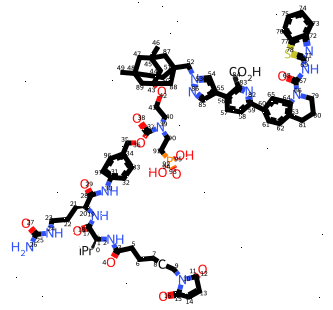 CC(C)[C@H](NC(=O)CCCCCN1C(=O)C=CC1=O)C(=O)N[C@@H](CCCNC(N)=O)C(=O)Nc1ccc(COC(=O)N(CCOC23CC4(C)CC(C)(CC(Cn5cc(-c6ccc(-c7ccc8c(c7)N(C(=O)Nc7nc9ccccc9s7)CCC8)nc6C(=O)O)cn5)(C4)C2)C3)CCP(=O)(O)O)cc1